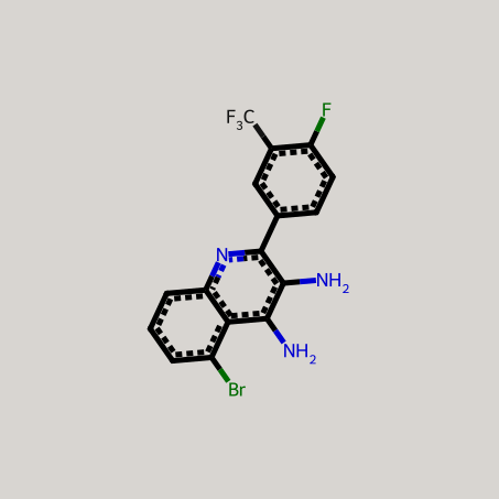 Nc1c(-c2ccc(F)c(C(F)(F)F)c2)nc2cccc(Br)c2c1N